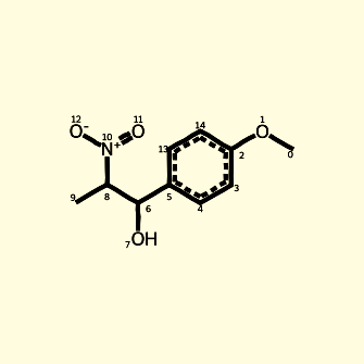 COc1ccc(C(O)C(C)[N+](=O)[O-])cc1